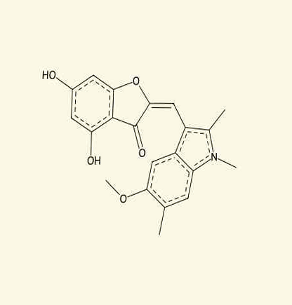 COc1cc2c(/C=C3/Oc4cc(O)cc(O)c4C3=O)c(C)n(C)c2cc1C